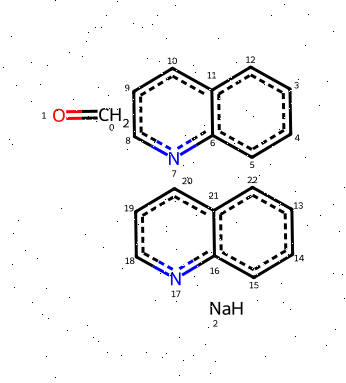 C=O.[NaH].c1ccc2ncccc2c1.c1ccc2ncccc2c1